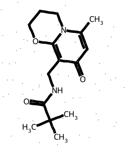 Cc1cc(=O)c(CNC(=O)C(C)(C)C)c2n1CCCO2